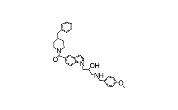 COc1ccc(CNCC(O)Cn2ccc3cc(C(=O)N4CCC(Cc5ccccc5)CC4)ccc32)cc1